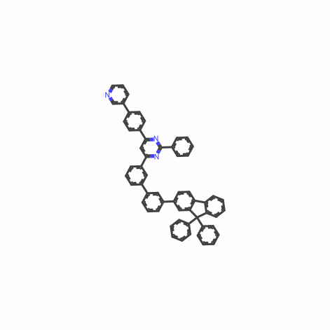 c1ccc(-c2nc(-c3ccc(-c4cccnc4)cc3)cc(-c3cccc(-c4cccc(-c5ccc6c(c5)C(c5ccccc5)(c5ccccc5)c5ccccc5-6)c4)c3)n2)cc1